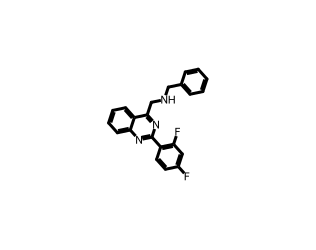 Fc1ccc(-c2nc(CNCc3ccccc3)c3ccccc3n2)c(F)c1